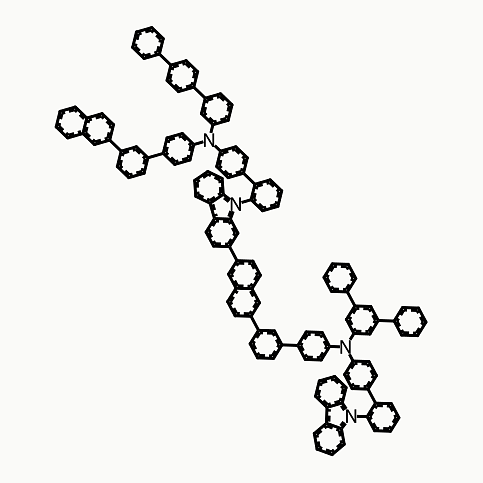 c1ccc(-c2ccc(-c3cccc(N(c4ccc(-c5cccc(-c6ccc7ccccc7c6)c5)cc4)c4ccc(-c5ccccc5-n5c6ccccc6c6ccc(-c7ccc8cc(-c9cccc(-c%10ccc(N(c%11ccc(-c%12ccccc%12-n%12c%13ccccc%13c%13ccccc%13%12)cc%11)c%11cc(-c%12ccccc%12)cc(-c%12ccccc%12)c%11)cc%10)c9)ccc8c7)cc65)cc4)c3)cc2)cc1